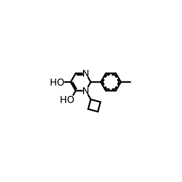 Cc1ccc(C2N=CC(O)=C(O)N2C2CCC2)cc1